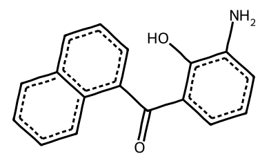 Nc1cccc(C(=O)c2cccc3ccccc23)c1O